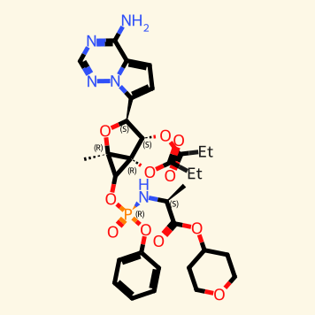 CCC(=O)O[C@H]1[C@H](c2ccc3c(N)ncnn23)O[C@]2(C)C(O[P@](=O)(N[C@@H](C)C(=O)OC3CCOCC3)Oc3ccccc3)[C@]12OC(=O)CC